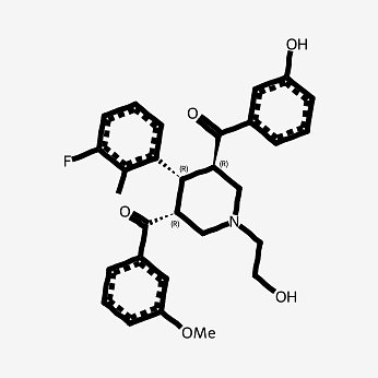 COc1cccc(C(=O)[C@H]2CN(CCO)C[C@H](C(=O)c3cccc(O)c3)[C@H]2c2cccc(F)c2C)c1